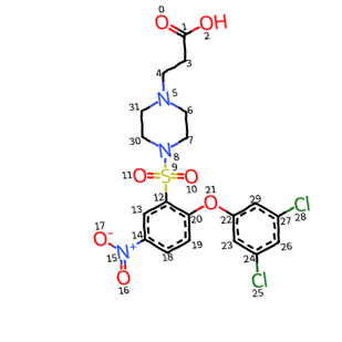 O=C(O)CCN1CCN(S(=O)(=O)c2cc([N+](=O)[O-])ccc2Oc2cc(Cl)cc(Cl)c2)CC1